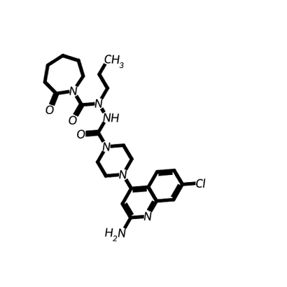 CCCN(NC(=O)N1CCN(c2cc(N)nc3cc(Cl)ccc23)CC1)C(=O)N1CCCCCC1=O